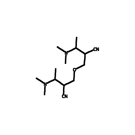 CC(C(C#N)COCC(C#N)C(C)N(C)C)N(C)C